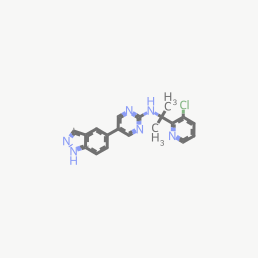 CC(C)(Nc1ncc(-c2ccc3[nH]n[c]c3c2)cn1)c1ncccc1Cl